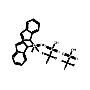 O=S(=O)(O)C(F)(F)F.O=S(=O)(O)C(F)(F)F.[CH3][Zr]([CH3])(=[SiH2])([CH]1C=Cc2ccccc21)[CH]1C=Cc2ccccc21